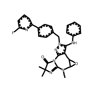 CN1C2=NC(C)(C)C(=O)N2c2nn(Cc3ccc(-c4cccc(F)n4)cc3)c(Nc3ccccc3)c2C2OC21